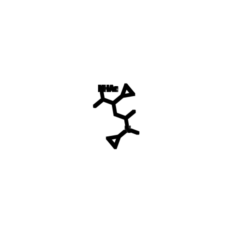 CC(=O)NC(C)C(CC(C)N(C)C1CC1)C1CC1